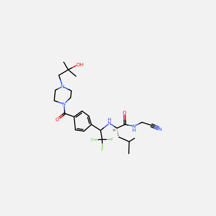 CC(C)C[C@H](NC(c1ccc(C(=O)N2CCN(CC(C)(C)O)CC2)cc1)C(F)(F)F)C(=O)NCC#N